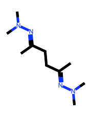 C/C(CC/C(C)=N/N(C)C)=N\N(C)C